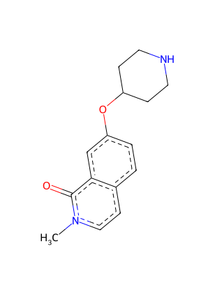 Cn1ccc2ccc(OC3CCNCC3)cc2c1=O